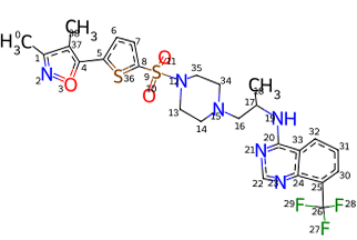 Cc1noc(-c2ccc(S(=O)(=O)N3CCN(CC(C)Nc4ncnc5c(C(F)(F)F)cccc45)CC3)s2)c1C